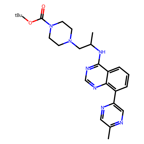 Cc1cnc(-c2cccc3c(NC(C)CN4CCN(C(=O)OC(C)(C)C)CC4)ncnc23)cn1